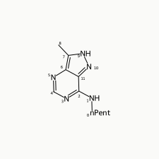 CCCCCNc1ncnc2c(C)[nH]nc12